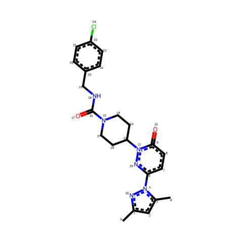 Cc1cc(C)n(-c2ccc(=O)n(C3CCN(C(=O)NCc4ccc(Cl)cc4)CC3)n2)n1